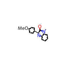 COc1ccc(-c2nc3ccccc3n(C)c2=O)cc1